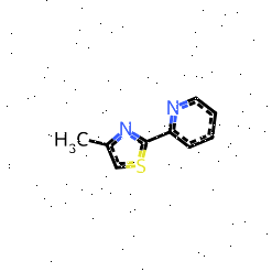 Cc1csc(-c2ccccn2)n1